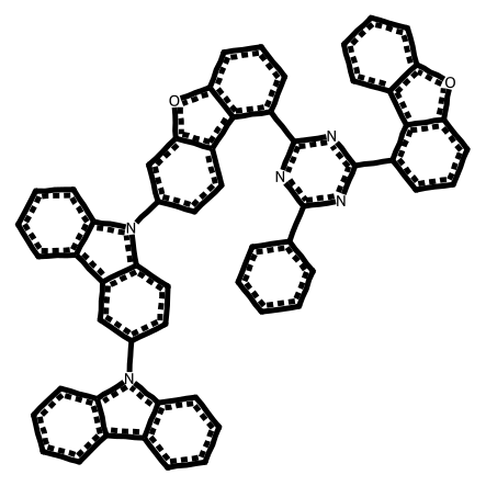 c1ccc(-c2nc(-c3cccc4oc5ccccc5c34)nc(-c3cccc4oc5cc(-n6c7ccccc7c7cc(-n8c9ccccc9c9ccccc98)ccc76)ccc5c34)n2)cc1